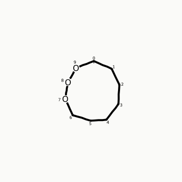 [CH]1CCCCCCOOO1